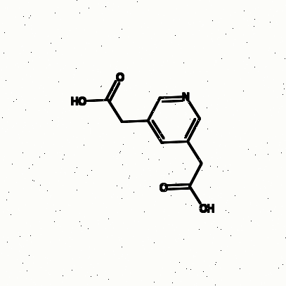 O=C(O)Cc1cncc(CC(=O)O)c1